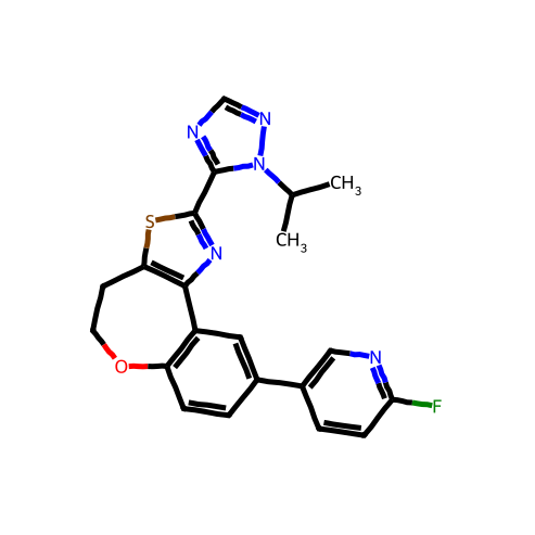 CC(C)n1ncnc1-c1nc2c(s1)CCOc1ccc(-c3ccc(F)nc3)cc1-2